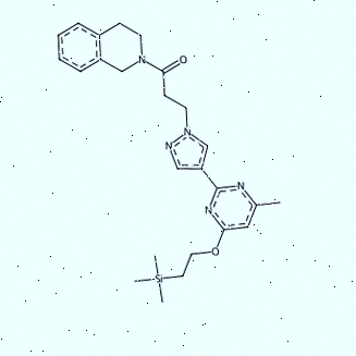 Cc1cc(OCC[Si](C)(C)C)nc(-c2cnn(CCC(=O)N3CCc4ccccc4C3)c2)n1